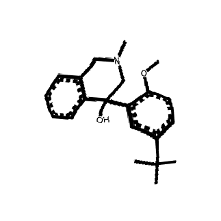 COc1ccc(C(C)(C)C)cc1C1(O)CN(C)Cc2ccccc21